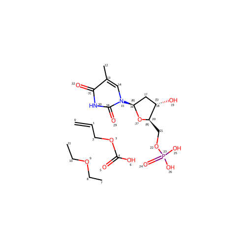 C=CCOC(=O)O.CCOCC.Cc1cn([C@H]2C[C@H](O)[C@@H](COP(=O)(O)O)O2)c(=O)[nH]c1=O